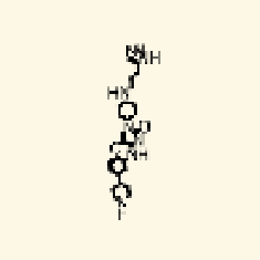 O=c1nc2c(cn1[C@H]1CC[C@H](NCCCc3cnn[nH]3)CC1)Oc1ccc(C3CCNCC3)cc1N2